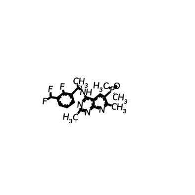 Cc1nc(N[C@H](C)c2cccc(C(F)F)c2F)c2cc(P(C)(C)=O)c(C)nc2n1